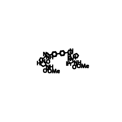 COC(=O)N[C@H]1CC[C@H]2CC[C@@H](c3ncc(-c4ccc(-c5ccc(C6CN=C([C@@H]7CCCN7C(=O)[C@@H](NC(=O)OC)C(C)C)N6)cc5)cc4)[nH]3)N2C1=O